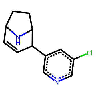 Clc1cncc(C2C=CC3CCC2N3)c1